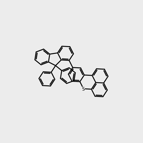 c1ccc(C2(c3ccccc3)c3ccccc3-c3cccc(-c4ccc5c(c4)-c4cccc6cccc(c46)S5)c32)cc1